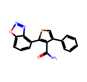 NC(=O)c1c(-c2ccccc2)csc1-c1cccc2onnc12